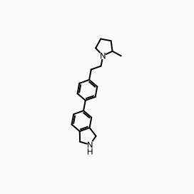 CC1CCCN1CCc1ccc(-c2ccc3c(c2)CNC3)cc1